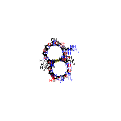 CC[C@H](C)[C@@H]1NC(=O)NC(=O)[C@H](CN)NC(=O)[C@H](CN)NC(=O)[C@H](CC(=O)O)NC(=O)[C@@H]2CCCN2C(=O)[C@H]([C@@H](C)CC)NC(=O)[C@H]2NC(=O)[C@H]([C@@H](C)CC)NC(=O)[C@@H]3CCCN3C(=O)[C@@H]3CCCN3C(=O)[C@H](CC(C)C)NC(=O)[C@H](CO)NC(=O)[C@H](CCCNC(=N)N)NC(=O)[C@H](CO)NC(=O)[C@@H](NC1=O)SS2